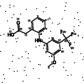 COc1cc(Nc2ccccc2CC(=O)O)cc(C(F)(F)F)c1